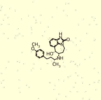 COc1ccc(CC[C@@H](C)N[C@@H]2CCn3c(=O)[nH]c4cccc(c43)[C@H]2O)cc1